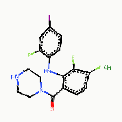 Cl.O=C(c1ccc(F)c(F)c1Nc1ccc(I)cc1F)N1CCNCC1